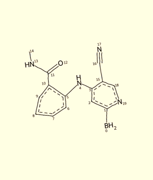 Bc1cc(Nc2ccccc2C(=O)NC)c(C#N)cn1